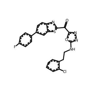 O=C(c1nnc(NCCc2ccccc2Cl)o1)c1nc2ccc(-c3ccc(F)cc3)cc2s1